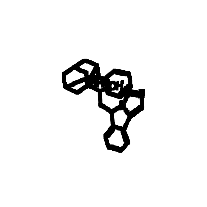 OC(CC1c2ccccc2-c2cncn21)C12CC3CC(C1)C(O)(c1ccccc1)C(C3)C2